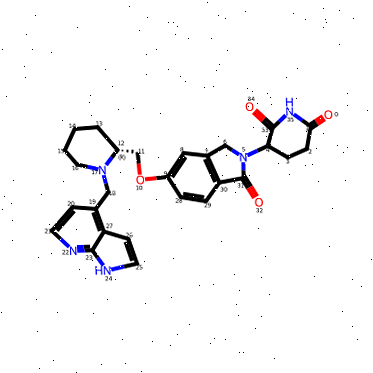 O=C1CCC(N2Cc3cc(OC[C@H]4CCCCN4Cc4ccnc5[nH]ccc45)ccc3C2=O)C(=O)N1